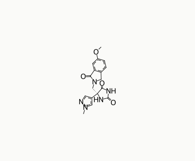 COc1ccc2c(c1)C(=O)N(C[C@@]1(c3cnn(C)c3)NC(=O)NC1=O)C2